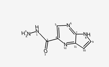 NNC(=O)c1cnc2[nH]ccc2n1